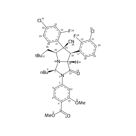 CCCC[C@@H]1N(c2ccc(C(=O)OC)c(OC)c2)C(=O)[C@H]2[C@H](c3cccc(Cl)c3F)[C@@](C#N)(c3ccc(Cl)cc3F)[C@H](CC(C)(C)C)N12